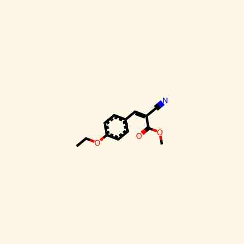 CCOc1ccc(C=C(C#N)C(=O)OC)cc1